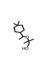 CC(OC(C)(C)CO)C1CCC(C)(C)CC1